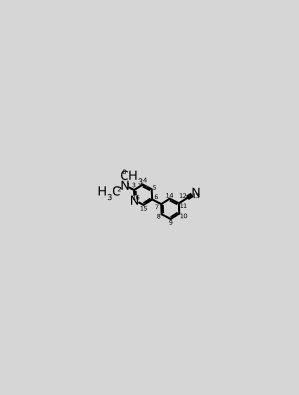 CN(C)c1ccc(-c2cccc(C#N)c2)cn1